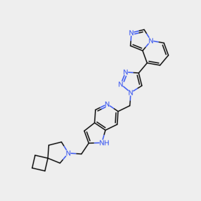 c1cc(-c2cn(Cc3cc4[nH]c(CN5CCC6(CCC6)C5)cc4cn3)nn2)c2cncn2c1